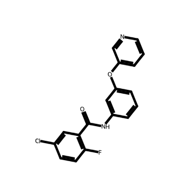 O=C(Nc1cccc(Oc2cccnc2)c1)c1cc(Cl)ccc1F